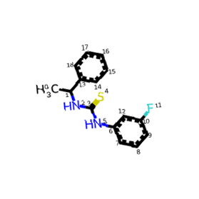 CC(NC(=S)Nc1cccc(F)c1)c1ccccc1